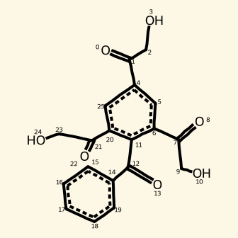 O=C(CO)c1cc(C(=O)CO)c(C(=O)c2ccccc2)c(C(=O)CO)c1